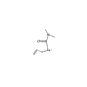 C=CCN(C)C(=O)N(C)C